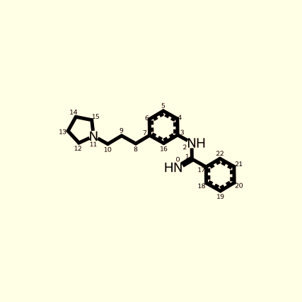 N=C(Nc1cccc(CCCN2CCCC2)c1)c1ccccc1